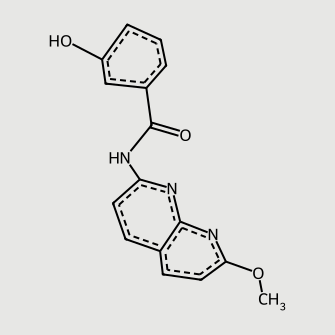 COc1ccc2ccc(NC(=O)c3cccc(O)c3)nc2n1